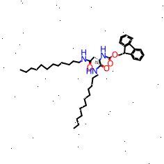 CCCCCCCCCCCCNC(=O)C[C@H](NC(=O)OCC1c2ccccc2-c2ccccc21)C(=O)NCCCCCCCCCCCC